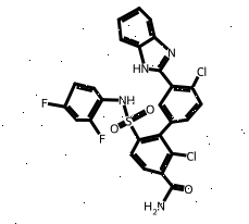 NC(=O)c1ccc(S(=O)(=O)Nc2ccc(F)cc2F)c(-c2ccc(Cl)c(-c3nc4ccccc4[nH]3)c2)c1Cl